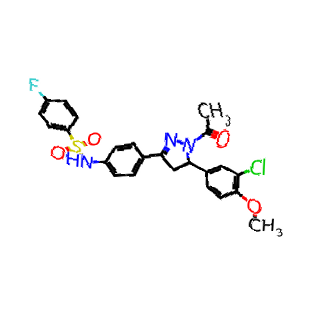 COc1ccc(C2CC(c3ccc(NS(=O)(=O)c4ccc(F)cc4)cc3)=NN2C(C)=O)cc1Cl